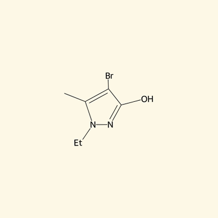 CCn1nc(O)c(Br)c1C